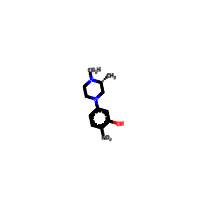 C[C@@H]1CN(c2ccc([N+](=O)[O-])c(O)c2)CCN1C(=O)O